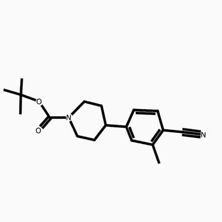 Cc1cc(C2CCN(C(=O)OC(C)(C)C)CC2)ccc1C#N